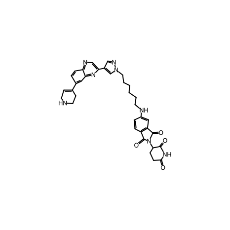 O=C1CCC(N2C(=O)c3ccc(NCCCCCCn4cc(-c5cnc6ccc(C7=CCNCC7)cc6n5)cn4)cc3C2=O)C(=O)N1